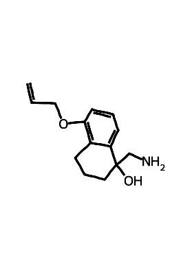 C=CCOc1cccc2c1CCCC2(O)CN